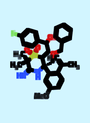 C=C(C)c1ccc(OC)cc1[C@@]1(COCc2ccccc2)NC(=N)C(C)(C)S(=O)(=O)C1CC(O)c1ccc(F)cc1